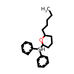 CCCCCC1CCCC([SiH](c2ccccc2)c2ccccc2)O1